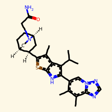 Cc1c(-c2[nH]c3sc([C@@H]4C[C@@H]5CC[C@H]4CN5CC(N)=O)c(C)c3c2C(C)C)cn2ncnc2c1C